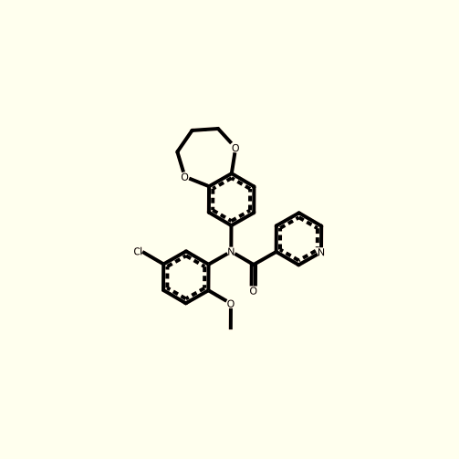 COc1ccc(Cl)cc1N(C(=O)c1cccnc1)c1ccc2c(c1)OCCCO2